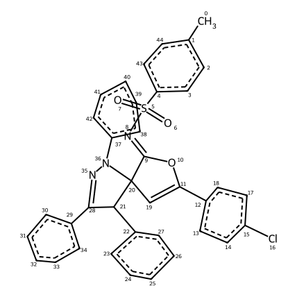 Cc1ccc(S(=O)(=O)/N=C2\OC(c3ccc(Cl)cc3)=CC23C(c2ccccc2)C(c2ccccc2)=NN3c2ccccc2)cc1